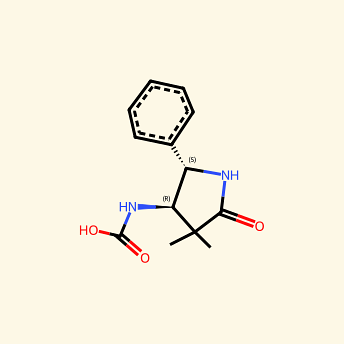 CC1(C)C(=O)N[C@@H](c2ccccc2)[C@@H]1NC(=O)O